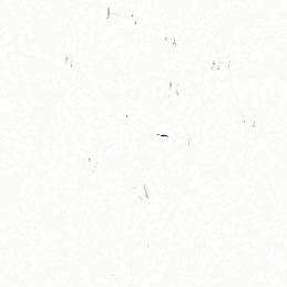 C[C@H](Nc1nc(N)nc(N)c1C#N)c1nc2c(F)ccc(F)c2c(=O)n1-c1cccc(C#N)c1